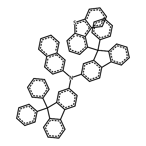 c1ccc(C2(c3ccccc3)c3ccccc3-c3ccc(N(c4ccc5c(c4)C(c4ccccc4)(c4cccc6sc7ccccc7c46)c4ccccc4-5)c4ccc5ccccc5c4)cc32)cc1